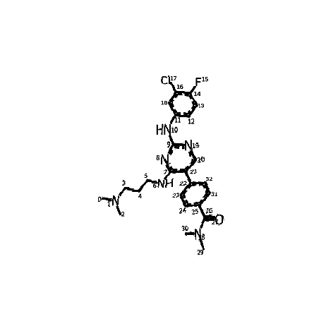 CN(C)CCCNc1nc(Nc2ccc(F)c(Cl)c2)ncc1-c1ccc(C(=O)N(C)C)cc1